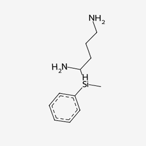 C[SiH](c1ccccc1)C(N)CCCN